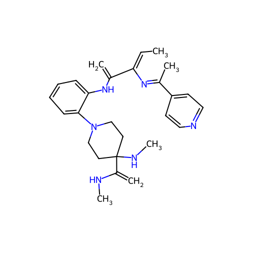 C=C(Nc1ccccc1N1CCC(NC)(C(=C)NC)CC1)C(=C/C)/N=C(\C)c1ccncc1